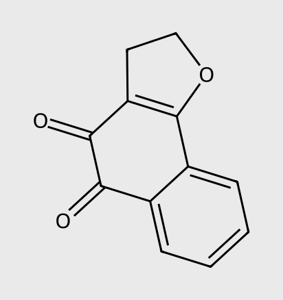 O=C1C(=O)c2ccccc2C2=C1CCO2